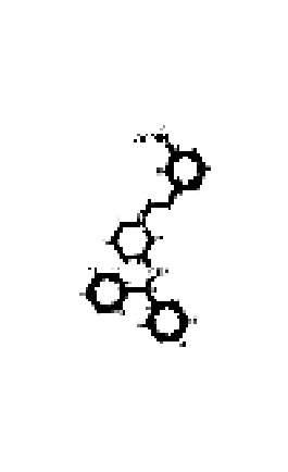 CC(=O)Nc1cccc(CCN2CCCC(OC(c3ccccc3)c3ccccc3)C2)c1